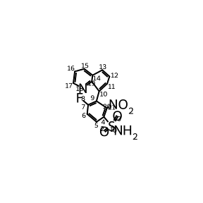 NS(=O)(=O)c1ccc(F)c(-c2cccc3cccnc23)c1[N+](=O)[O-]